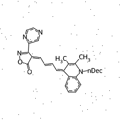 CCCCCCCCCCN1C(C)=C(C)\C(=C/C=C/C=C2\C(=O)ON=C2c2cnccn2)c2ccccc21